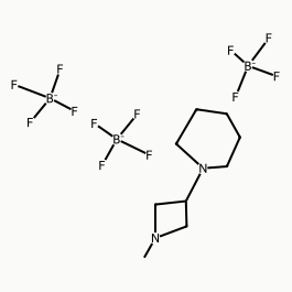 CN1CC(N2CCCCC2)C1.F[B-](F)(F)F.F[B-](F)(F)F.F[B-](F)(F)F